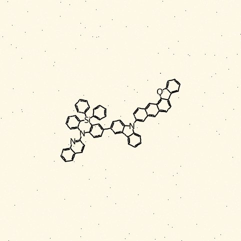 c1ccc([Si]2(c3ccccc3)c3ccccc3N(c3ccc4ccccc4n3)c3ccc(-c4ccc5c(c4)c4ccccc4n5-c4ccc5cc6c(ccc7c8ccccc8oc67)cc5c4)cc32)cc1